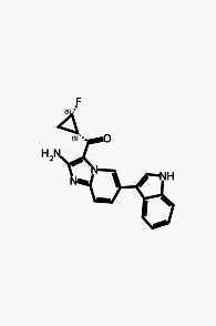 Nc1nc2ccc(-c3c[nH]c4ccccc34)cn2c1C(=O)[C@@H]1C[C@@H]1F